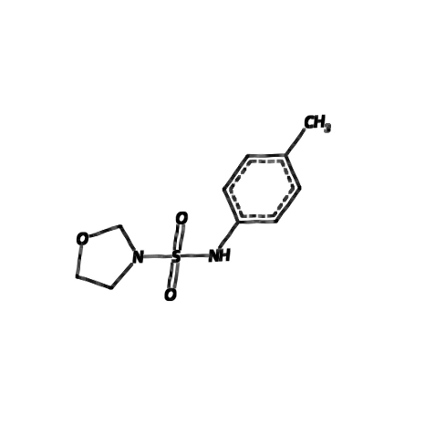 Cc1ccc(NS(=O)(=O)N2CCOC2)cc1